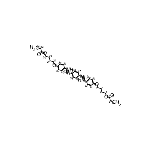 C=CC(=O)OCCCCOc1ccc(NNc2ccc(NNc3ccc(OCCCCOC(=O)C=C)cc3)cc2)cc1